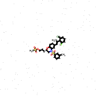 C/C(=C\c1ccc2c(c1)N(S(=O)(=O)c1cccc(C)c1)C[C@H](CCCOS(C)(=O)=O)O2)c1c(F)cccc1Cl